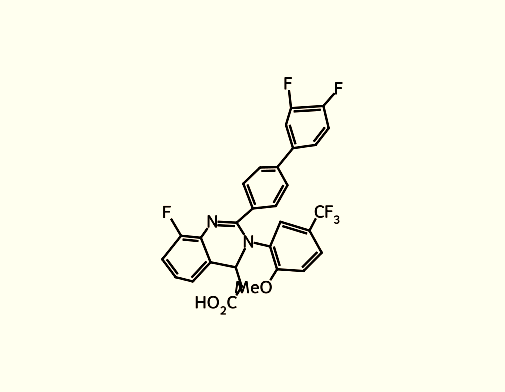 COc1ccc(C(F)(F)F)cc1N1C(c2ccc(-c3ccc(F)c(F)c3)cc2)=Nc2c(F)cccc2C1CC(=O)O